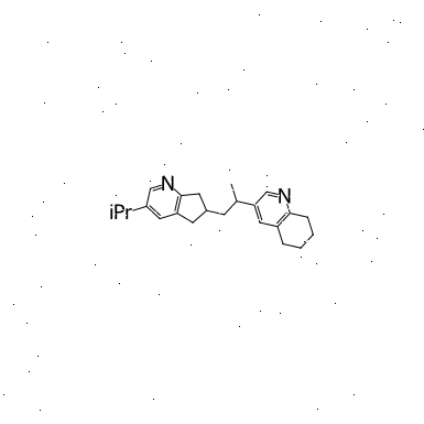 CC(C)c1cnc2c(c1)CC(CC(C)c1cnc3c(c1)CCCC3)C2